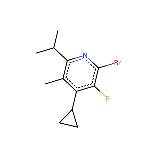 Cc1c(C(C)C)nc(Br)c(F)c1C1CC1